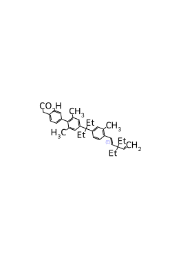 C=CC(/C=C/c1ccc(C(CC)(CC)c2cc(C)c(-c3ccc(CC(=O)O)cc3)c(C)c2)cc1C)(CC)CC